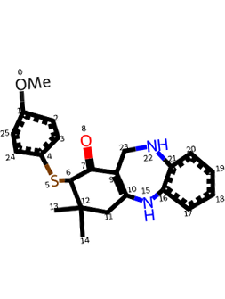 COc1ccc(SC2C(=O)C3=C(CC2(C)C)Nc2ccccc2NC3)cc1